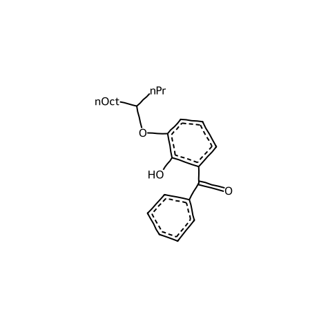 CCCCCCCCC(CCC)Oc1cccc(C(=O)c2ccccc2)c1O